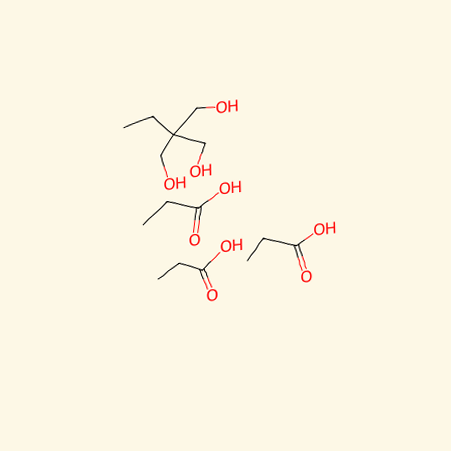 CCC(=O)O.CCC(=O)O.CCC(=O)O.CCC(CO)(CO)CO